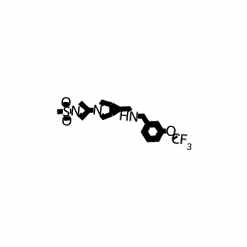 CS(=O)(=O)N1CC(N2CC3C(CNCc4cccc(OC(F)(F)F)c4)C3C2)C1